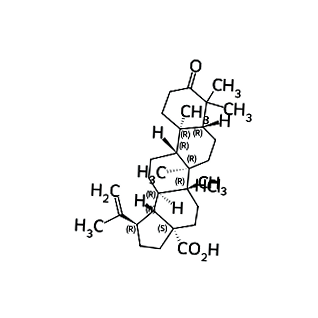 C=C(C)[C@@H]1CC[C@]2(C(=O)O)CC[C@]3(C)[C@H](CC[C@@H]4[C@@]5(C)CCC(=O)C(C)(C)[C@@H]5CC[C@]43C)[C@@H]12.Cl